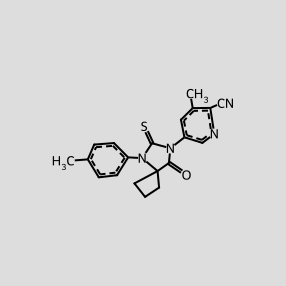 Cc1ccc(N2C(=S)N(c3cnc(C#N)c(C)c3)C(=O)C23CCC3)cc1